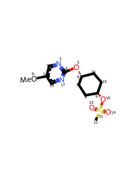 COc1cnc(O[C@H]2CC[C@H](OS(C)(=O)=O)CC2)nc1